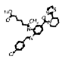 C/C(CCCCC(=O)O)=N\c1cc(C(=O)N2CCCCC2c2nccs2)ccc1/N=C/c1ccc(Cl)cc1